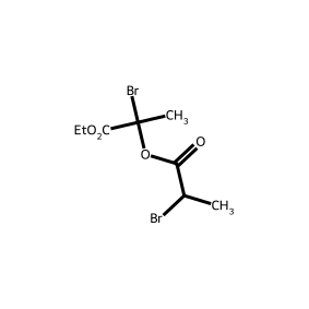 CCOC(=O)C(C)(Br)OC(=O)C(C)Br